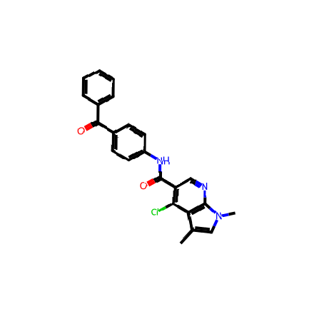 Cc1cn(C)c2ncc(C(=O)Nc3ccc(C(=O)c4ccccc4)cc3)c(Cl)c12